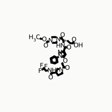 CCOC(=O)N1CCN(C(=O)[C@H](CCC(=O)O)NC(=O)c2cc(OCC(=O)N3CCC(C(=O)NCC(F)(F)F)C3)n(-c3ccccc3)n2)CC1